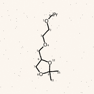 CC(C)OCCOCC1COC(C)(C)O1